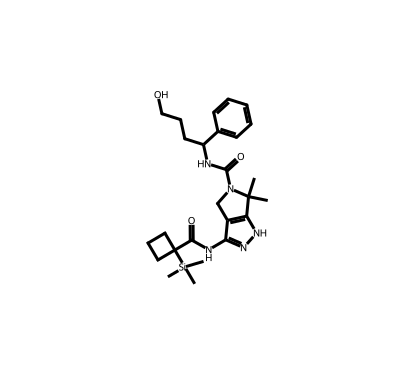 CC1(C)c2[nH]nc(NC(=O)C3([Si](C)(C)C)CCC3)c2CN1C(=O)NC(CCCO)c1ccccc1